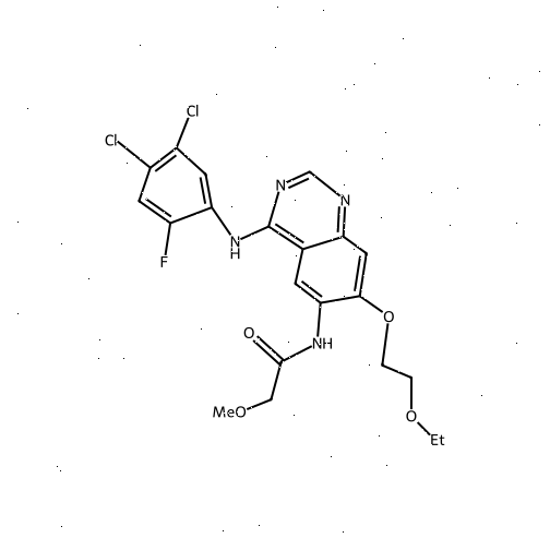 CCOCCOc1cc2ncnc(Nc3cc(Cl)c(Cl)cc3F)c2cc1NC(=O)COC